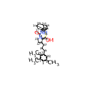 Cc1cc(C)c(C)c(CCCC2CCN(C(=O)NC34CC5CC(CC(C5)C3)C4)C2C(O)=S)c1